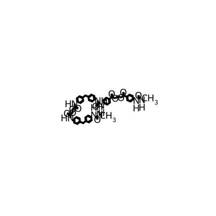 CNC(=O)Nc1ccc(Cc2ccc(NC(=O)OOC(=O)Nc3ccc(Cc4ccc(NC(=O)Nc5ccc(C(=O)OCOC(=O)c6ccc(NC(=O)NC)cc6)cc5)cc4)cc3)cc2)cc1